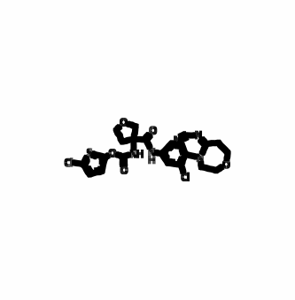 N#CN=C1CCOCCN1c1ccc(NC(=O)C2(NC(=O)Oc3ccc(Cl)s3)CCOC2)cc1Cl